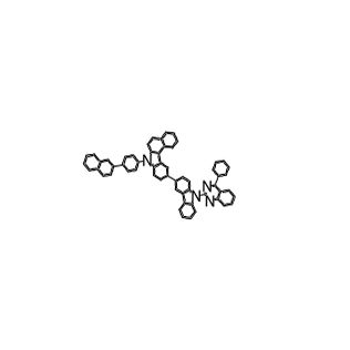 c1ccc(-c2nc(-n3c4ccccc4c4cc(-c5ccc6c(c5)c5c7ccccc7ccc5n6-c5ccc(-c6ccc7ccccc7c6)cc5)ccc43)nc3ccccc23)cc1